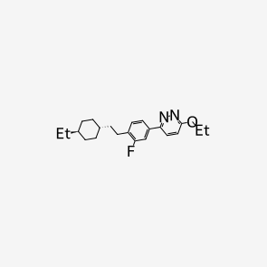 CCOc1ccc(-c2ccc(CC[C@H]3CC[C@H](CC)CC3)c(F)c2)nn1